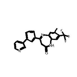 Cc1cc2c(cc1C(F)(F)F)NC(=O)CC(c1cccc(-c3cccnc3)c1)=N2